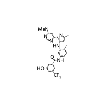 CNc1cc(-n2nc(C)cc2Nc2cc(NC(=O)c3cc(O)cc(C(F)(F)F)c3)ccc2C)ncn1